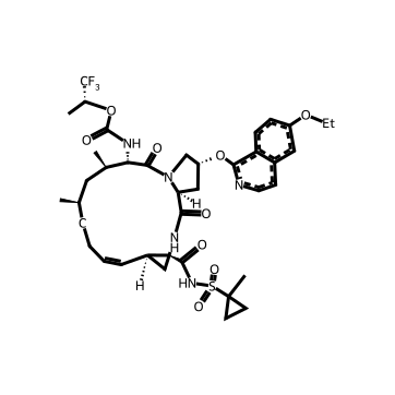 CCOc1ccc2c(O[C@@H]3C[C@H]4C(=O)N[C@]5(C(=O)NS(=O)(=O)C6(C)CC6)C[C@H]5/C=C\CC[C@@H](C)C[C@@H](C)[C@H](NC(=O)O[C@H](C)C(F)(F)F)C(=O)N4C3)nccc2c1